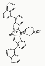 CCCC1=Cc2c(-c3cccc4ccccc34)cccc2[CH]1[Hf+2]1([CH]2C(CCC)=Cc3c(-c4cccc5ccccc45)cccc32)[CH]2CCCC[CH]21.[Cl-].[Cl-]